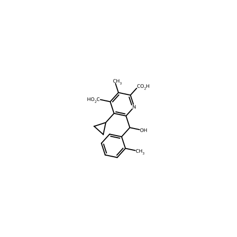 Cc1ccccc1C(O)c1nc(C(=O)O)c(C)c(C(=O)O)c1C1CC1